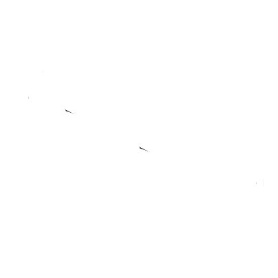 Fc1cc([C@H]2CC[C@H](CC[C@H]3CC[C@H](CCC4OCCO4)CC3)CC2)ccc1Cl